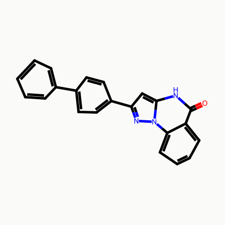 O=c1[nH]c2cc(-c3ccc(-c4ccccc4)cc3)nn2c2ccccc12